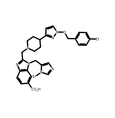 CCn1cncc1Cn1c(CN2CCC(c3ccn(OCc4ccc(Cl)cc4)n3)CC2)nc2ccc(C(=O)O)cc21